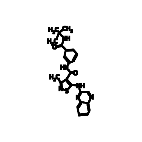 Cc1nsc(Nc2cnc3ccccc3n2)c1C(=O)Nc1cccc(C(=O)NC(C)(C)C)c1